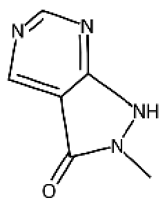 Cn1[nH]c2ncncc2c1=O